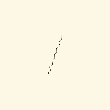 ICCCCCCCCCCCI